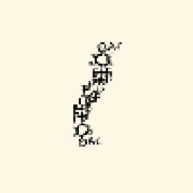 CC(=O)Oc1ccc(C(F)(F)C(F)(F)OC(F)(F)C(F)(F)OC(F)(F)C(F)(F)c2ccc(OC(C)=O)cc2)cc1